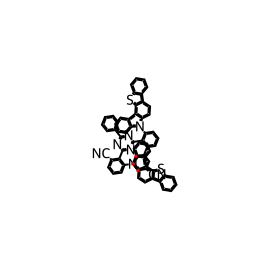 N#Cc1cccc(-c2cccc(-n3c4ccccc4c4c5sc6ccccc6c5ccc43)c2-c2nc(-c3ccccc3)nc(-c3c(C#N)cccc3-n3c4ccccc4c4c5sc6ccccc6c5ccc43)n2)c1